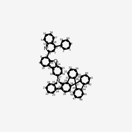 c1ccc(-c2cc(-c3cccc4c3oc3ccc(-n5c6ccccc6c6ccc7c(c65)-c5ccccc5C75c6ccccc6-c6ccccc65)cc34)nc3ccccc23)cc1